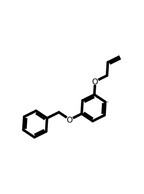 C=CCOc1[c]ccc(OCc2ccccc2)c1